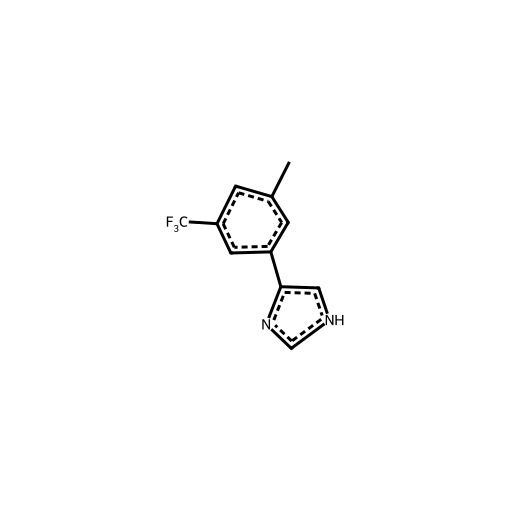 Cc1cc(-c2c[nH]cn2)cc(C(F)(F)F)c1